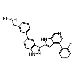 CCNCc1cccc(-c2ccc3[nH]nc(-c4cc5c(-c6ccccc6F)cncc5[nH]4)c3c2)c1